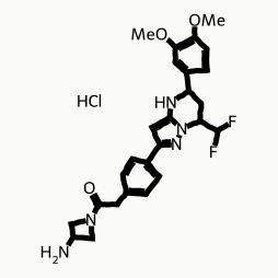 COc1ccc(C2CC(C(F)F)n3nc(-c4ccc(CC(=O)N5CC(N)C5)cc4)cc3N2)cc1OC.Cl